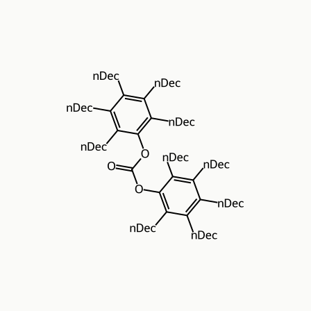 CCCCCCCCCCc1c(CCCCCCCCCC)c(CCCCCCCCCC)c(OC(=O)Oc2c(CCCCCCCCCC)c(CCCCCCCCCC)c(CCCCCCCCCC)c(CCCCCCCCCC)c2CCCCCCCCCC)c(CCCCCCCCCC)c1CCCCCCCCCC